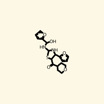 O=C(C1CCOCC1)C1SC(NC(O)c2ccco2)NC1c1ccco1